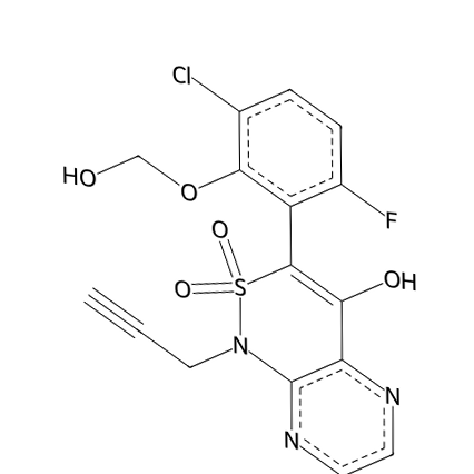 C#CCN1c2nccnc2C(O)=C(c2c(F)ccc(Cl)c2OCO)S1(=O)=O